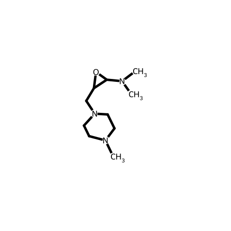 CN1CCN(CC2OC2N(C)C)CC1